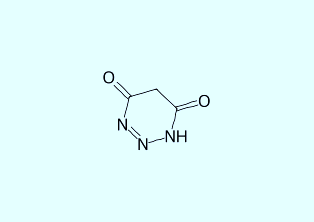 O=C1CC(=O)NN=N1